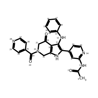 CC(=O)Nc1cc(-c2[nH]c3c(c2Nc2ccccc2)C(=O)CN(C(=O)c2ccncc2)C3)ccn1